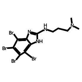 CN(C)CCCNc1nc2c(Br)c(Br)c(Br)c(Br)c2[nH]1